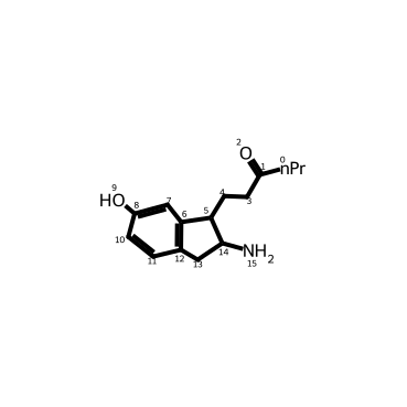 CCCC(=O)CCC1c2cc(O)ccc2CC1N